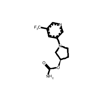 NC(=O)O[C@@H]1CCN(c2cncc(C(F)(F)F)c2)C1